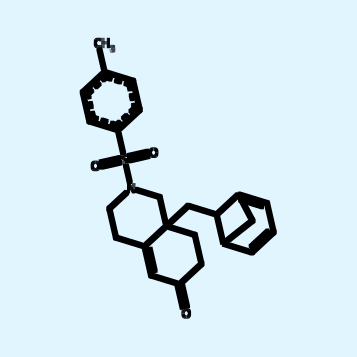 Cc1ccc(S(=O)(=O)N2CCC3=CC(=O)CCC3(CC3C4=CC=CC3C4)C2)cc1